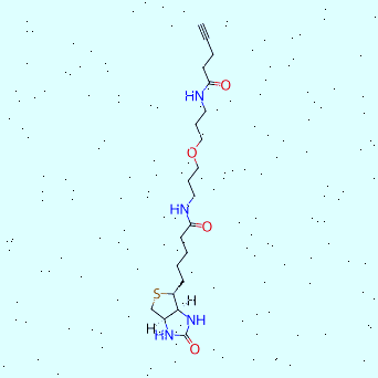 C#CCCC(=O)NCCCOCCCNC(=O)CCCC[C@@H]1SC[C@@H]2NC(=O)N[C@@H]21